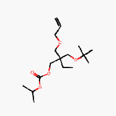 C=CCOCC(CC)(COC(=O)OC(C)C)COC(C)(C)C